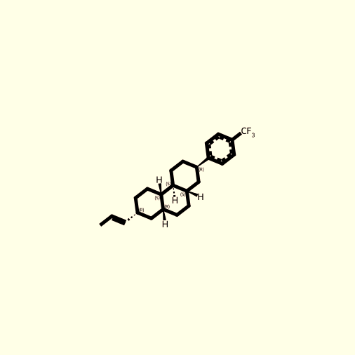 CC=C[C@@H]1CC[C@H]2[C@H](CC[C@H]3C[C@H](c4ccc(C(F)(F)F)cc4)CC[C@@H]32)C1